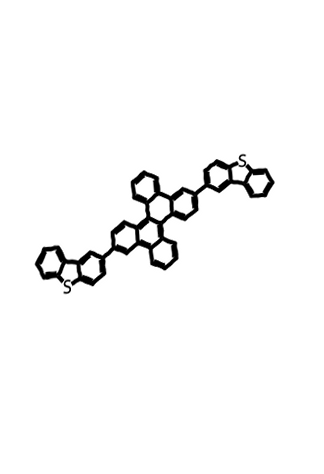 c1ccc2c(c1)sc1ccc(-c3ccc4c(c3)c3ccccc3c3c5ccc(-c6ccc7sc8ccccc8c7c6)cc5c5ccccc5c43)cc12